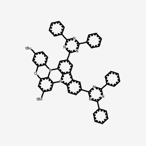 CC(C)(C)c1ccc2c(c1)Oc1cc(C(C)(C)C)cc3c1B2c1cc(-c2nc(-c4ccccc4)nc(-c4ccccc4)n2)cc2c4cc(-c5nc(-c6ccccc6)nc(-c6ccccc6)n5)ccc4n-3c12